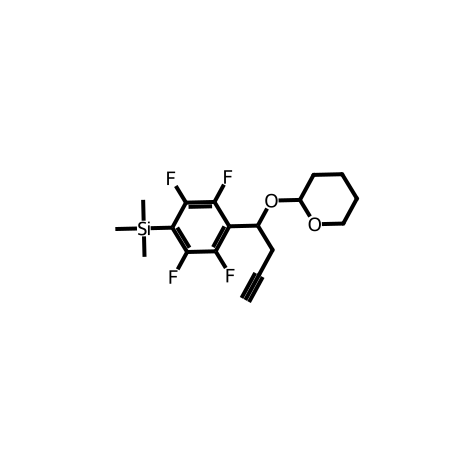 C#CCC(OC1CCCCO1)c1c(F)c(F)c([Si](C)(C)C)c(F)c1F